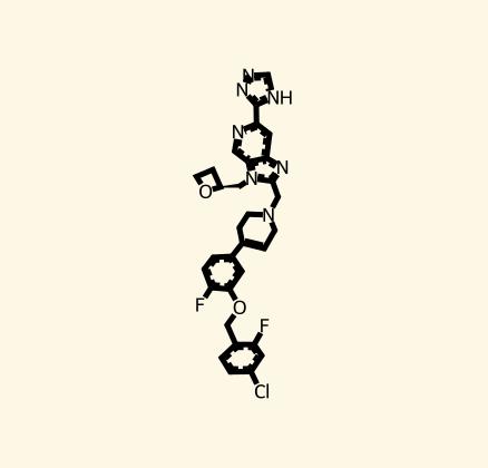 Fc1cc(Cl)ccc1COc1cc(C2=CCN(Cc3nc4cc(-c5nnc[nH]5)ncc4n3C[C@@H]3CCO3)CC2)ccc1F